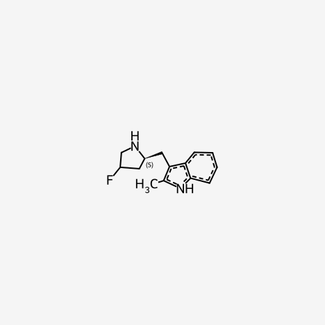 Cc1[nH]c2ccccc2c1C[C@H]1CC(F)CN1